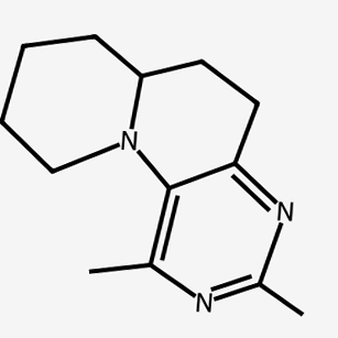 Cc1nc(C)c2c(n1)CCC1CCCCN21